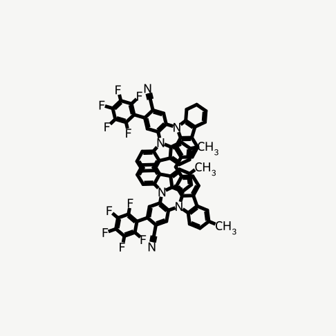 Cc1ccc2c(c1)c1ccccc1n2-c1cc(-c2c(F)c(F)c(F)c(F)c2F)c(C#N)cc1-n1c2ccc(C)cc2c2ccc(Cc3ccc4c5c(n(-c6cc(C#N)c(-c7c(F)c(F)c(F)c(F)c7F)cc6-n6c7ccccc7c7ccc(C)cc76)c4c3)CCC=C5)cc21